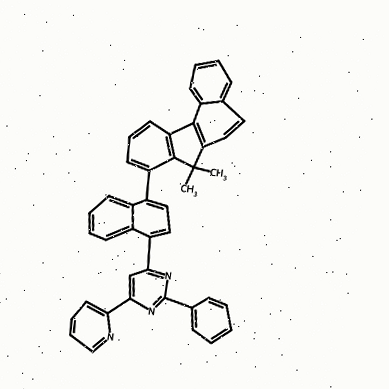 CC1(C)c2ccc3ccccc3c2-c2cccc(-c3ccc(-c4cc(-c5ccccn5)nc(-c5ccccc5)n4)c4ccccc34)c21